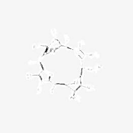 CCC1=C(CC)c2nc1c(CC)c1[nH]c(c(CC)c3nc(c([N+](=O)[O-])c4[nH]c(c2CC)c([N+](=O)[O-])c4[N+](=O)[O-])C([N+](=O)[O-])=C3CC)c(CC)c1CC.[Fe+2]